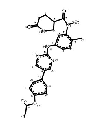 CCN(C(=O)C1CCC(=O)NC1)c1cc(Nc2ncc(-c3ccc(OC(F)F)cc3)cn2)ccc1C